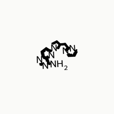 Nc1ncnc2ccc(N3CCC(Cc4ncccn4)C3)nc12